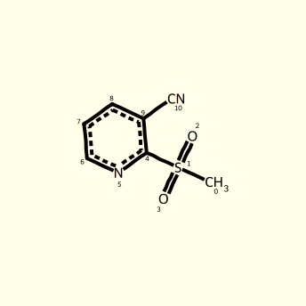 CS(=O)(=O)c1ncccc1C#N